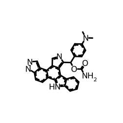 CN(C)c1ccc(C(OC(N)=O)C2=c3c(c4c5c(ccc4c4[nH]c6ccccc6c34)N=NC=5)C=N2)cc1